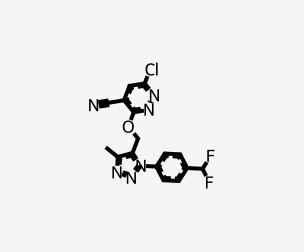 Cc1nnn(-c2ccc(C(F)F)cc2)c1COc1nnc(Cl)cc1C#N